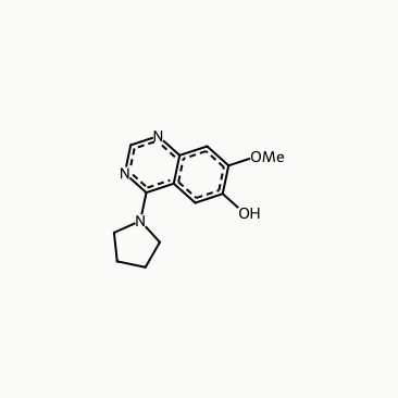 COc1cc2ncnc(N3CCCC3)c2cc1O